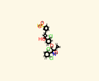 O=[SH](=O)c1cccc(C2CC(O)(c3ccc(OCc4c(-c5c(Cl)cccc5Cl)noc4C4CC4)cc3Cl)C2)c1